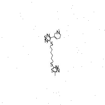 Cc1nnc(SCCCCCCSc2nsnc2C2=CCCN(C)C2)s1